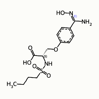 CCCCS(=O)(=O)N[C@@H](COc1ccc(/C(N)=N\O)cc1)C(=O)O